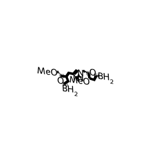 B[C@H]1CC(Cc2cn(C[C@H]3O[C@@H](B)CC3OC)nn2)[C@@H](COC)O1